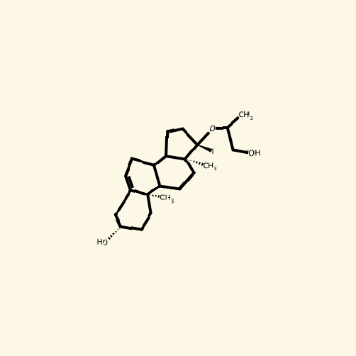 CC(CO)O[C@@]1(I)CCC2C3CC=C4C[C@@H](O)CC[C@]4(C)C3CC[C@@]21C